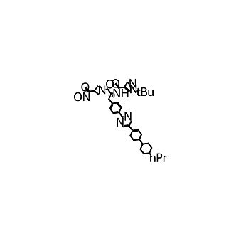 CCCC1CCC(C2CC=C(c3cnc(-c4ccc(C[C@H](NC(=O)c5cnn(C(C)(C)C)c5)C(=O)N5CC(C(=O)N=O)C5)cc4)nc3)CC2)CC1